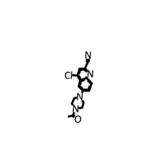 CC(=O)N1CCN(c2ccc3nc(C#N)cc(Cl)c3c2)CC1